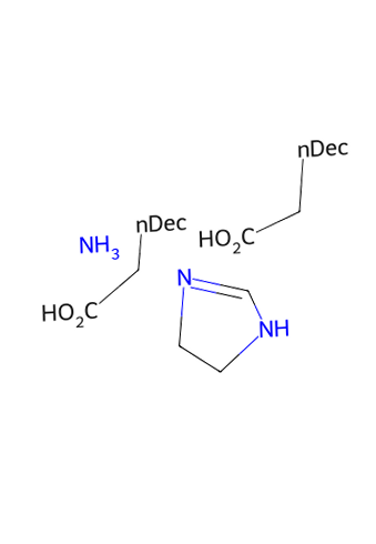 C1=NCCN1.CCCCCCCCCCCC(=O)O.CCCCCCCCCCCC(=O)O.N